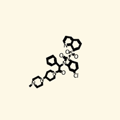 CN1CCN(C2CCN(C(=O)C(c3ccccc3)n3c(=O)n(S(=O)(=O)c4cccc5cccnc45)c4ccc(Cl)cc43)CC2)CC1